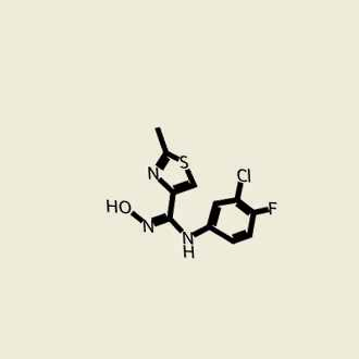 Cc1nc(/C(=N\O)Nc2ccc(F)c(Cl)c2)cs1